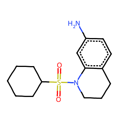 Nc1ccc2c(c1)N(S(=O)(=O)C1CCCCC1)CCC2